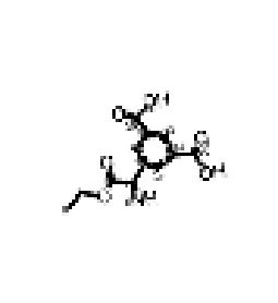 CCOC(=O)C(=N)c1cc(C(=O)O)cc(C(=O)O)c1